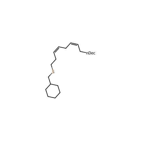 CCCCCCCCCCC/C=C\C/C=C\CCSCC1CCCCC1